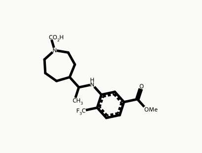 COC(=O)c1ccc(C(F)(F)F)c(NC(C)C2CCCN(C(=O)O)CC2)c1